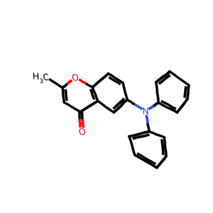 Cc1cc(=O)c2cc(N(c3ccccc3)c3ccccc3)ccc2o1